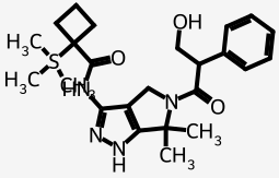 CC1(C)c2[nH]nc(NC(=O)C3(S(C)(C)C)CCC3)c2CN1C(=O)C(CO)c1ccccc1